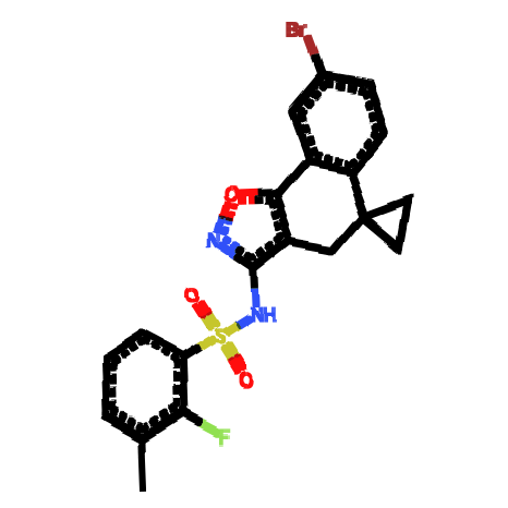 Cc1cccc(S(=O)(=O)Nc2noc3c2CC2(CC2)c2ccc(Br)cc2-3)c1F